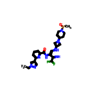 C[S+]([O-])N1CCC(N2CC(N/C=C(/NC(=O)c3cccc(-c4cnn(CC(F)(F)F)c4)n3)C(=N)C(F)F)C2)CC1